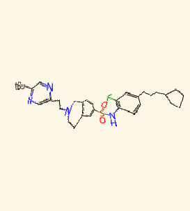 CC(C)(C)c1cnc(CCN2CCc3cc(S(=O)(=O)Nc4ccc(CCCC5CCCC5)cc4F)ccc3C2)cn1